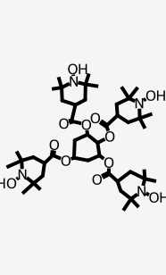 CC1(C)CC(C(=O)OC2CC(OC(=O)C3CC(C)(C)N(O)C(C)(C)C3)C(OC(=O)C3CC(C)(C)N(O)C(C)(C)C3)C(OC(=O)C3CC(C)(C)N(O)C(C)(C)C3)C2)CC(C)(C)N1O